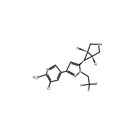 Nc1ncc(-c2cc([C@H]3[C@@H]4CNC[C@@H]43)n(CC(F)(F)F)n2)cc1Cl